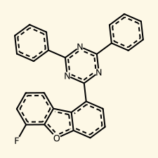 Fc1cccc2c1oc1cccc(-c3nc(-c4ccccc4)nc(-c4ccccc4)n3)c12